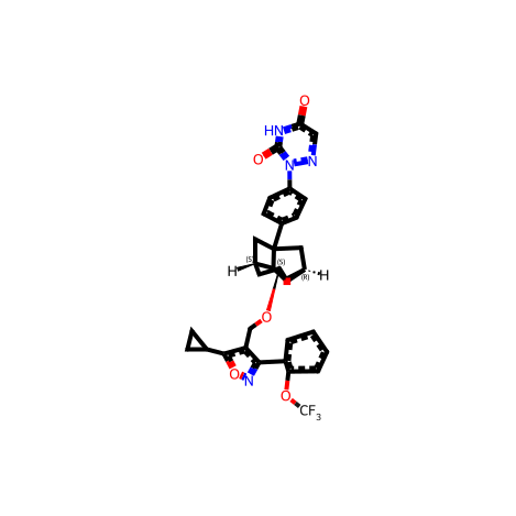 O=c1cnn(-c2ccc(C34C[C@H]5CC3[C@H](C[C@@H](OCc3c(-c6ccccc6OC(F)(F)F)noc3C3CC3)C5)C4)cc2)c(=O)[nH]1